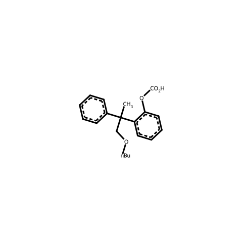 CCCCOCC(C)(c1ccccc1)c1ccccc1OC(=O)O